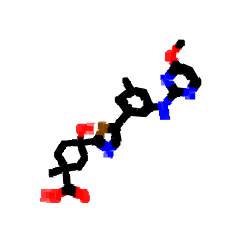 COc1ccnc(Nc2cc(C)cc(-c3cnc([C@]4(O)CC[C@](C)(C(=O)O)CC4)s3)c2)n1